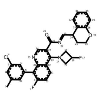 Cc1cc(Cl)cc(-c2c(F)ccc3c(N4CC(F)C4)c(C(=O)N=CC4CCOc5ccccc54)cnc23)c1